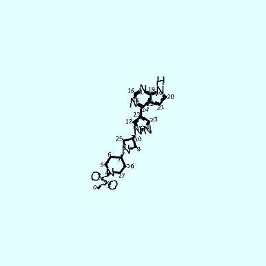 CS(=O)(=O)N1CCC(N2C[C](n3cc(-c4ncnc5[nH]ccc45)cn3)C2)CC1